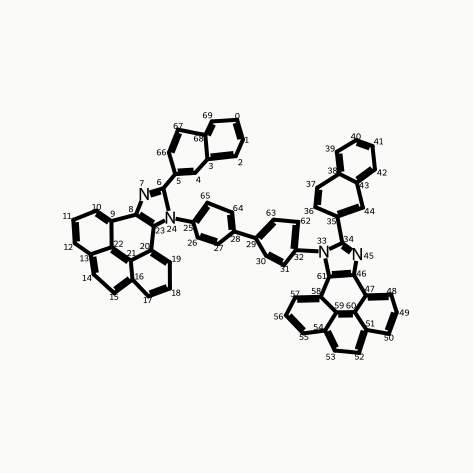 c1ccc2cc(-c3nc4c5cccc6ccc7cccc(c7c65)c4n3-c3ccc(-c4ccc(-n5c(-c6ccc7ccccc7c6)nc6c7cccc8ccc9cccc(c9c87)c65)cc4)cc3)ccc2c1